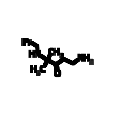 CC(C)CNC(C)(C)C(=O)CCN